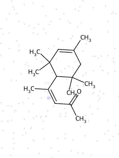 CC(=O)/C=C(/C)C1C(C)(C)C=C(C)CC1(C)C